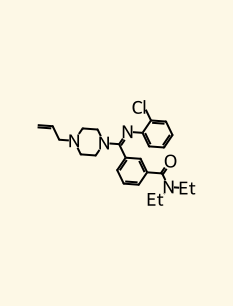 C=CCN1CCN(C(=Nc2ccccc2Cl)c2cccc(C(=O)N(CC)CC)c2)CC1